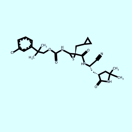 CC1(C)C[C@@H](C[C@@H](C#N)NC(=O)[C@]2(CC3CC3)SC2NC(=O)OCC(C)(C)c2cccc(Cl)c2)C(=O)N1